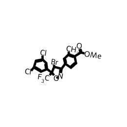 COC(=O)c1ccc(C2=NOC(c3cc(Cl)cc(Cl)c3)(C(F)(F)F)C2Br)cc1C